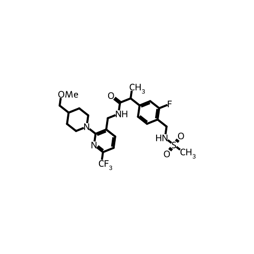 COCC1CCN(c2nc(C(F)(F)F)ccc2CNC(=O)C(C)c2ccc(CNS(C)(=O)=O)c(F)c2)CC1